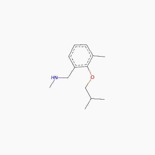 CNCc1cccc(C)c1OCC(C)C